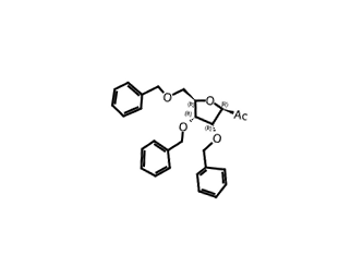 CC(=O)[C@@H]1O[C@H](COCc2ccccc2)[C@@H](OCc2ccccc2)[C@H]1OCc1ccccc1